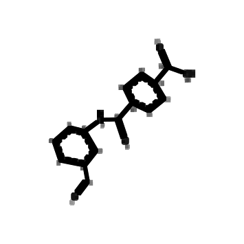 O=Cc1cccc(NC(=O)c2ccc(C(=O)O)cc2)c1